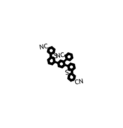 N#Cc1ccc2sc3c(-c4ccc(-c5cccc6c5sc5ccc(C#N)cc56)c(-c5ccccc5C#N)c4)cccc3c2c1